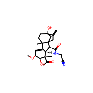 C=C1C[C@]23C[C@@]1(O)CC[C@H]2C1=C[C@@H](OC)[C@H](O)[C@@](C)(C(C)=O)[C@H]1[C@@H]3C(=O)NCC#N